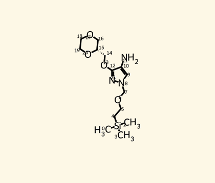 C[Si](C)(C)CCOCn1cc(N)c(OC[C@H]2COCCO2)n1